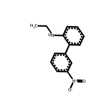 CCNc1ccccc1-c1cccc([N+](=O)[O-])c1